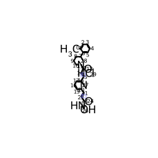 Cc1ccccc1C1CCCN(C(=O)/C=C/c2cccc(/C=C/C(=O)NO)n2)C1.Cl